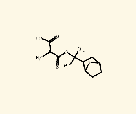 CC(C(=O)O)C(=O)OC(C)(C)C1CC2CCC1S2